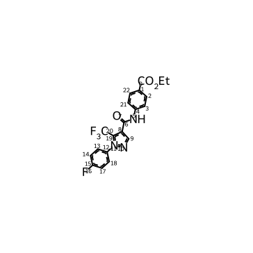 CCOC(=O)c1ccc(NC(=O)c2cnn(-c3ccc(F)cc3)c2C(F)(F)F)cc1